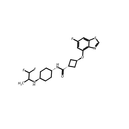 CC(N[C@H]1CC[C@H](NC(=O)[C@H]2C[C@H](Oc3cc(F)cc4scnc34)C2)CC1)C(F)F